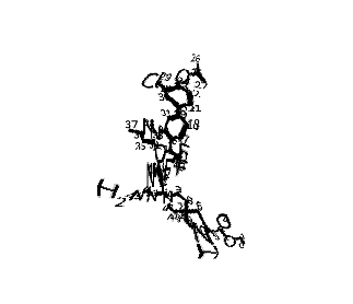 CCOC(=O)[C@@H]1CC2(CCN(c3cc(O[C@H](c4ccc(-c5ccc(OC(C)C)c(Cl)c5)cc4-n4ccc(C)n4)C(F)(F)F)nc(N)n3)CC2)CN1